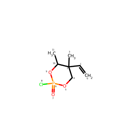 C=CC1(C)COP(=O)(Cl)OC1C